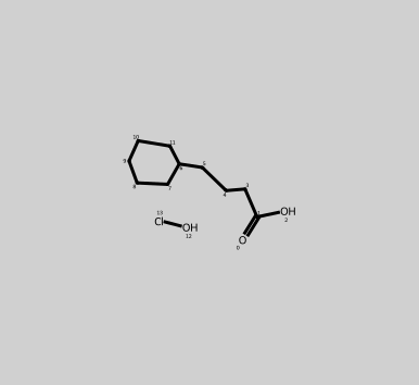 O=C(O)CCCC1CCCCC1.OCl